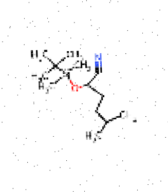 CC(C)CCC(C#N)O[Si](C)(C)C(C)(C)C